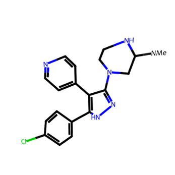 CNC1CN(c2n[nH]c(-c3ccc(Cl)cc3)c2-c2ccncc2)CCN1